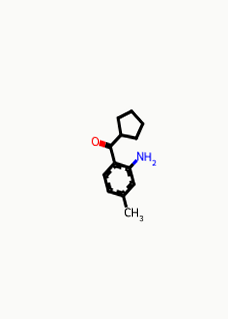 Cc1ccc(C(=O)C2CCCC2)c(N)c1